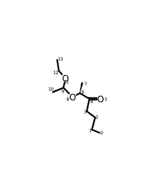 CCCCC(=O)[C@H](C)OC(C)OCC